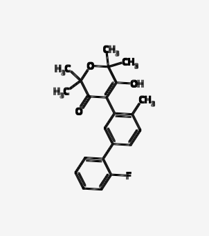 Cc1ccc(-c2ccccc2F)cc1C1=C(O)C(C)(C)OC(C)(C)C1=O